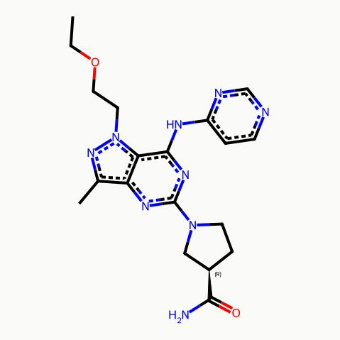 CCOCCn1nc(C)c2nc(N3CC[C@@H](C(N)=O)C3)nc(Nc3ccncn3)c21